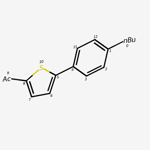 CCCCc1ccc(-c2ccc(C(C)=O)s2)cc1